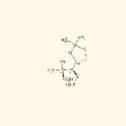 CCOC(=O)[C@@](C)(C#N)[C@H](OS(=O)(=O)O)[C@H]1COC(C)(C)O1